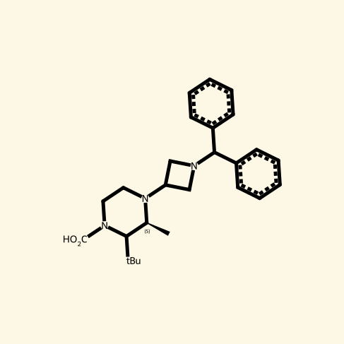 C[C@H]1C(C(C)(C)C)N(C(=O)O)CCN1C1CN(C(c2ccccc2)c2ccccc2)C1